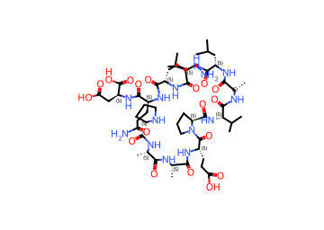 CC(C)C[C@H](NC(=O)[C@H](C)NC(=O)[C@@H](NC(=O)[C@@H]1CCCN1C(=O)[C@H](CCC(=O)O)NC(=O)[C@H](C)NC(=O)[C@H](C)NC(=O)[C@@H]1CCCN1)C(C)C)C(=O)N[C@H](C(=O)N[C@@H](CCCCN)C(=O)N[C@@H](CCC(N)=O)C(=O)N[C@@H](CC(=O)O)C(=O)O)C(C)C